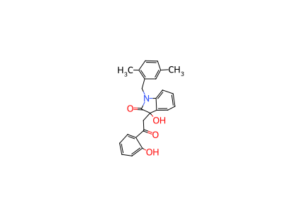 Cc1ccc(C)c(CN2C(=O)C(O)(CC(=O)c3ccccc3O)c3ccccc32)c1